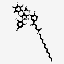 CCCCCCCCCCCCOC(=O)CCC(=O)c1ccc(Cl)c(Nc2[nH]n(-c3c(Cl)cc(Cl)cc3Cl)c(=O)c2N(C(N)=O)c2c(F)c(F)c(F)c(F)c2F)c1